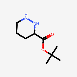 CC(C)(C)OC(=O)C1CCCNN1